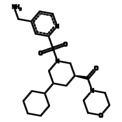 NCc1ccnc(S(=O)(=O)N2CC(C3CCCCC3)C[C@H](C(=O)N3CCOCC3)C2)c1